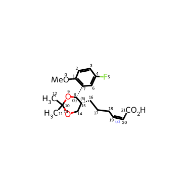 COc1ccc(F)cc1[C@H]1OC(C)(C)OC[C@H]1CCC/C=C\C(=O)O